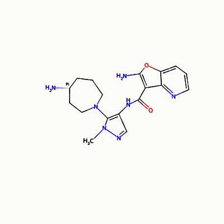 Cn1ncc(NC(=O)c2c(N)oc3cccnc23)c1N1CCC[C@@H](N)CC1